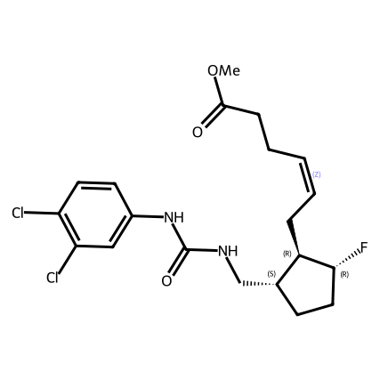 COC(=O)CC/C=C\C[C@@H]1[C@@H](CNC(=O)Nc2ccc(Cl)c(Cl)c2)CC[C@H]1F